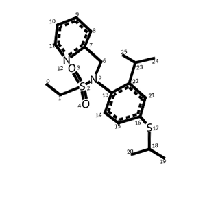 CCS(=O)(=O)N(Cc1ccccn1)c1ccc(SC(C)C)cc1C(C)C